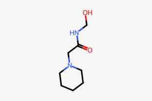 O=C(CN1CCCCC1)NCO